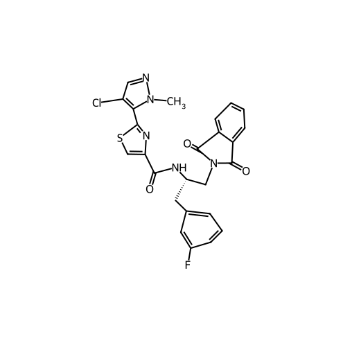 Cn1ncc(Cl)c1-c1nc(C(=O)N[C@@H](Cc2cccc(F)c2)CN2C(=O)c3ccccc3C2=O)cs1